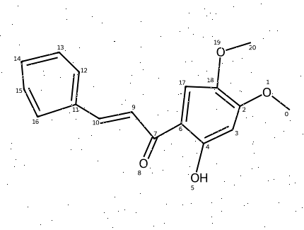 COc1cc(O)c(C(=O)C=Cc2ccccc2)cc1OC